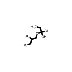 CCC(O)(O)OCC(O)CO